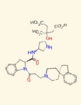 O=C(N[C@H]1CCNC1)[C@@H]1Cc2ccccc2N1C(=O)CCN1CCC2(CCc3ccccc32)CC1.O=C(O)CC(O)(CC(=O)O)C(=O)O